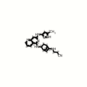 Cc1cc(Nc2cc3ncccc3c(NC3CC4CC3CC4NCCC#N)n2)n[nH]1